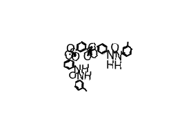 Cc1cccc(NC(=O)Nc2cccc(OS(=O)(=O)c3cccc(S(=O)(=O)Oc4cccc(NC(=O)Nc5cccc(C)c5)c4)c3)c2)c1